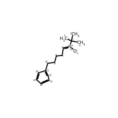 CC(C)(C)[N+]([O-])=CCCCCc1ccccc1